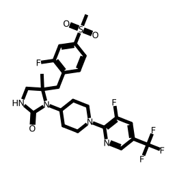 CC1(Cc2ccc(S(C)(=O)=O)cc2F)CNC(=O)N1C1CCN(c2ncc(C(F)(F)F)cc2F)CC1